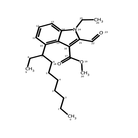 CCCCCCCC(CC)c1cccc2c1c(C(=O)OC)c(C=O)n2CC